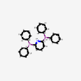 c1ccc(P(c2ccccc2)c2cccc(P(c3ccccc3)c3ccccc3)n2)cc1